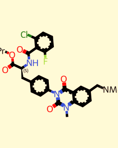 CNCc1ccc2c(c1)c(=O)n(-c1ccc(C[C@H](NC(=O)c3c(F)cccc3Cl)C(=O)OC(C)C)cc1)c(=O)n2C